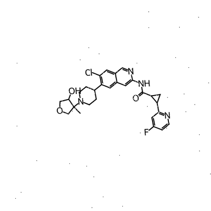 CC1(N2CCC(c3cc4cc(NC(=O)C5CC5c5cc(F)ccn5)ncc4cc3Cl)CC2)COCC1O